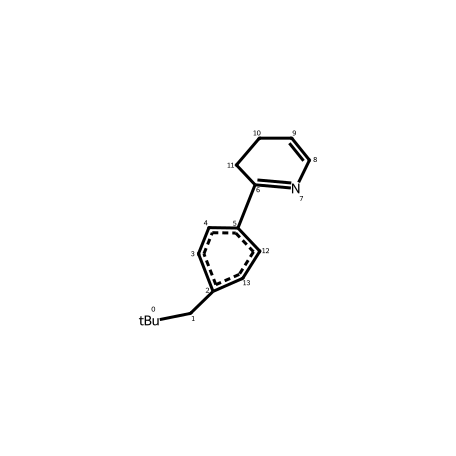 CC(C)(C)Cc1ccc(C2=NC=CCC2)cc1